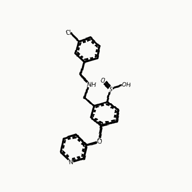 O=S(O)c1ccc(Oc2cccnc2)cc1CNCc1cccc(Cl)c1